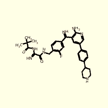 CC(C)(C)C(=O)NC(=N)C(=O)NCc1ccc(C(=N)c2cc(-c3ccc(C4CCNCC4)cc3)cnc2N)cc1F